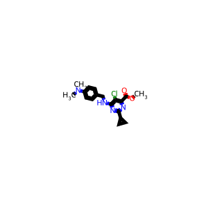 COC(=O)c1nc(C2CC2)nc(NCc2ccc(N(C)C)cc2)c1Cl